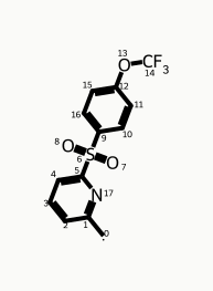 [CH2]c1cccc(S(=O)(=O)c2ccc(OC(F)(F)F)cc2)n1